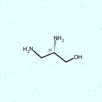 NC[C@H](N)CO